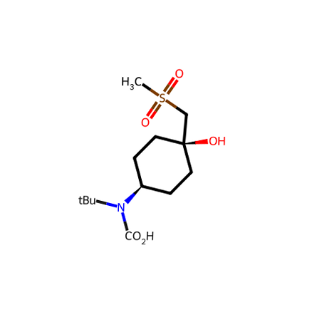 CC(C)(C)N(C(=O)O)[C@H]1CC[C@](O)(CS(C)(=O)=O)CC1